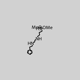 CO[SiH](CCCCNCCNCCc1ccccc1)OC